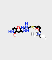 CN(C)Cc1ccc(CSCCNc2nc(=O)c(Cc3ccc[nH]c3=O)c[nH]2)o1